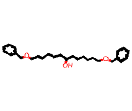 OC(CCCCCCOCc1ccccc1)CCCCCCOCc1ccccc1